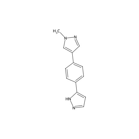 Cn1cc(-c2ccc(-c3ccn[nH]3)cc2)cn1